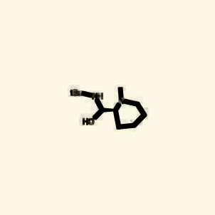 CN1CCCC[C@H]1C(O)NC(C)(C)C